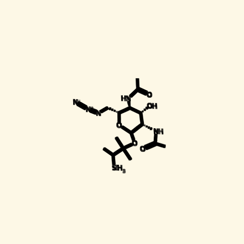 CC(=O)N[C@H]1[C@H](O)[C@H](NC(C)=O)C(OC(C)(C)C(C)[SiH3])O[C@@H]1CN=[N+]=[N-]